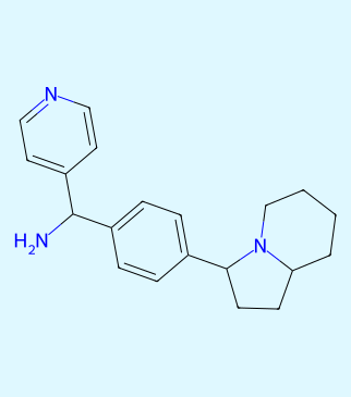 NC(c1ccncc1)c1ccc(C2CCC3CCCCN32)cc1